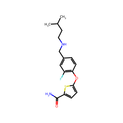 CC(C)CCNCc1ccc(Oc2ccc(C(N)=O)s2)c(F)c1